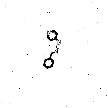 C(=NCc1ccccc1)=Nc1ccncc1